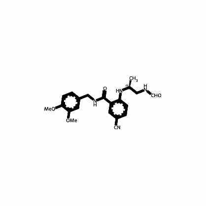 COc1ccc(CNC(=O)c2cc(C#N)ccc2N[C@@H](C)CNC=O)cc1OC